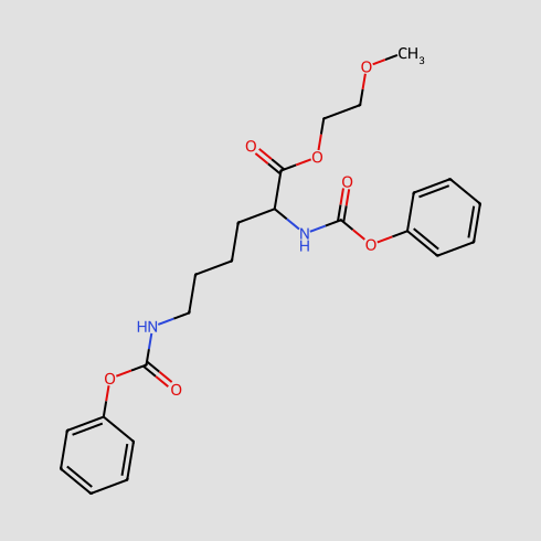 COCCOC(=O)C(CCCCNC(=O)Oc1ccccc1)NC(=O)Oc1ccccc1